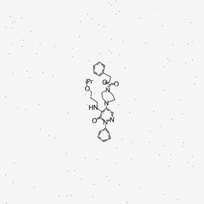 CC(C)OCCCNc1c(N2CCN(S(=O)(=O)Cc3ccccc3)CC2)cnn(-c2ccccc2)c1=O